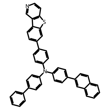 c1ccc(-c2ccc(N(c3ccc(-c4ccc5ccccc5c4)cc3)c3ccc(-c4ccc5c(c4)sc4ccncc45)cc3)cc2)cc1